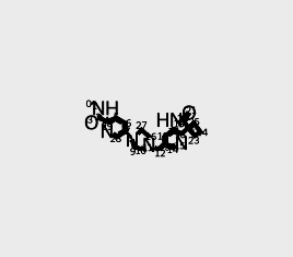 CNC(=O)c1ccc(N2CCN(Cc3cnc4c(c3)NC(=O)C43CCC3)CC2)cn1